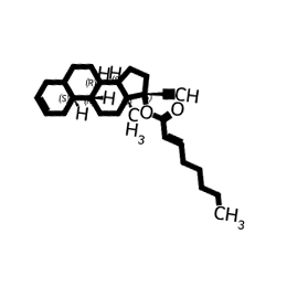 C#C[C@]1(OC(=O)C=CCCCCC)CC[C@H]2[C@@H]3CCC4CC=CC[C@@H]4[C@H]3CC[C@@]21C